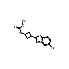 CC(C)(C)OC(=O)NC1CC(c2nc3cc(Br)ccc3s2)C1